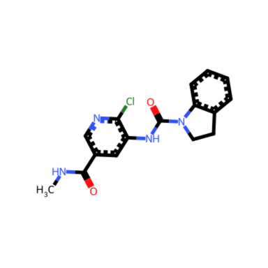 CNC(=O)c1cnc(Cl)c(NC(=O)N2CCc3ccccc32)c1